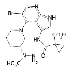 NN(C(=O)O)[C@@H]1CCCN(c2c(Br)cnc3[nH]cc(NC(=O)C4(C(=O)O)CC4)c23)C1